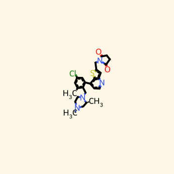 Cc1cc(Cl)cc(-c2ccnc3cc(CN4C(=O)CCC4=O)sc23)c1CN1CCN(C)C[C@@H]1C